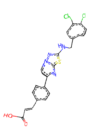 O=C(O)/C=C/c1ccc(-c2cn3nc(NCc4ccc(Cl)c(Cl)c4)sc3n2)cc1